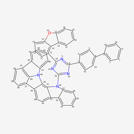 c1ccc(-c2ccc(-c3nc(-c4cccc5oc6ccccc6c45)nc(-n4c5ccccc5c5ccc6c7cccc8c9ccccc9n(c87)c6c54)n3)cc2)cc1